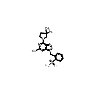 CC1(O)CCN(c2nc(C(C)(C)C)nc3c2nnn3Cc2ccccc2S(C)(=O)=O)C1